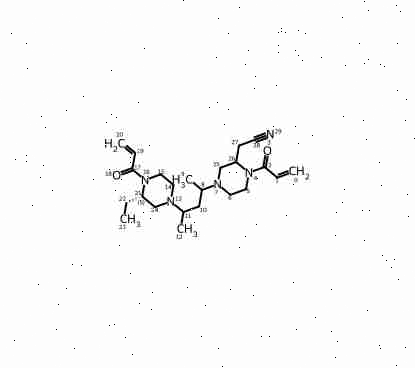 C=CC(=O)N1CCN(C(C)CC(C)N2CCN(C(=O)C=C)[C@@H](CC)C2)CC1CC#N